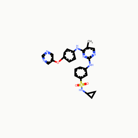 Cc1cnc(Nc2cccc(S(=O)(=O)NC3CC3)c2)nc1Nc1ccc(Oc2cncnc2)cc1